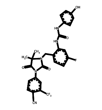 CC1(C)C(=O)N(c2ccc(C#N)c(C(F)(F)F)c2)C(=O)N1Cc1ccc(F)cc1NC(=O)Nc1ccc(O)cc1